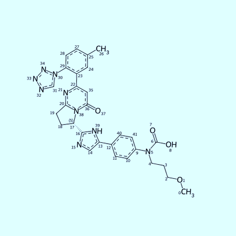 COCCCN(C(=O)O)c1ccc(-c2cnc([C@@H]3CCc4nc(-c5cc(C)ccc5-n5cnnn5)cc(=O)n43)[nH]2)cc1